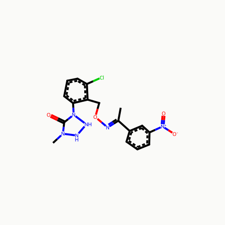 C/C(=N\OCc1c(Cl)cccc1N1NNN(C)C1=O)c1cccc([N+](=O)[O-])c1